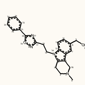 CN1CCc2c(c3cc(CO)ccc3n2CCc2noc(-c3ccccc3)n2)C1